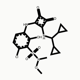 CON(C)S(=O)(=O)c1c(Cl)ccc(Nc2c(NC(C3CC3)C3CC3)c(=O)c2=O)c1O